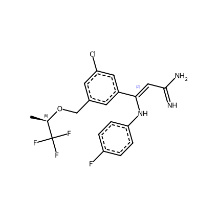 C[C@@H](OCc1cc(Cl)cc(/C(=C/C(=N)N)Nc2ccc(F)cc2)c1)C(F)(F)F